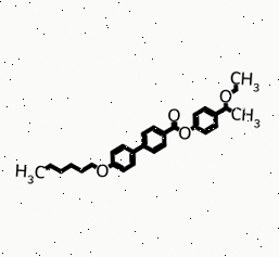 CCCCCCOc1ccc(-c2ccc(C(=O)Oc3ccc(C(C)OCC)cc3)cc2)cc1